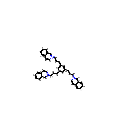 c1ccc2c[n+](CCCc3cc(CCC[n+]4ccc5ccccc5c4)cc(CCC[n+]4ccc5ccccc5c4)c3)ccc2c1